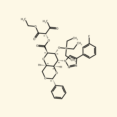 CCOC(=O)[C@@H](OC(=O)[C@@H]1O[C@@H]2CO[C@@H](c3ccccc3)O[C@@H]2[C@@H](n2cc(-c3cccc(F)c3)nn2)[C@H]1O[Si](CC)(CC)CC)C(C)=O